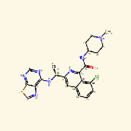 C[C@H](Nc1ncnc2scnc12)c1cc2cccc(Cl)c2c(C(=O)NC2CCN(C)CC2)n1